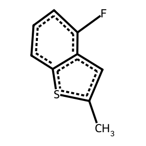 Cc1cc2c(F)cccc2s1